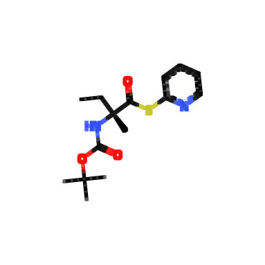 CC[C@@](C)(NC(=O)OC(C)(C)C)C(=O)Sc1ccccn1